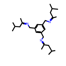 CC(CC(C)C)=NCc1cc(CN=C(C)CC(C)C)cc(CN=C(C)CC(C)C)c1